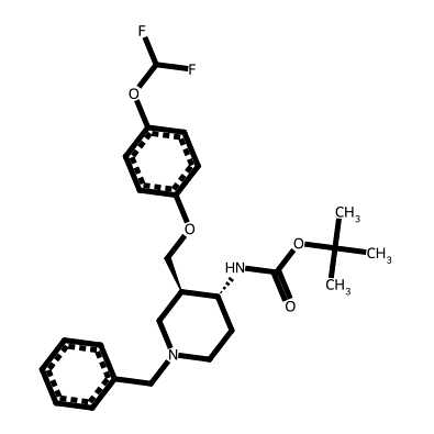 CC(C)(C)OC(=O)N[C@@H]1CCN(Cc2ccccc2)C[C@H]1COc1ccc(OC(F)F)cc1